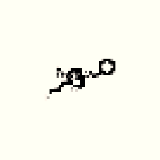 CO[C@@H]1CC[C@]2(OCC3CCCCC3)COC1(CCCF)O2